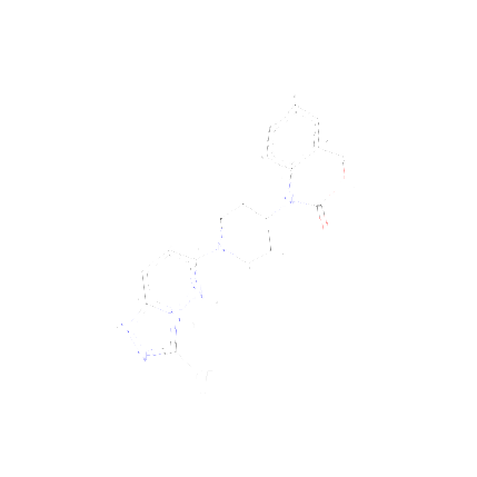 O=C1OCc2ccccc2N1C1CCN(c2ccc3nnc(C(F)(F)F)n3n2)CC1